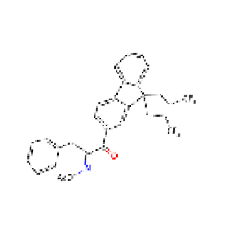 CC(=O)O/N=C(\Cc1ccccc1)C(=O)c1ccc2c(c1)C(CCC(F)(F)F)(CCC(F)(F)F)c1ccccc1-2